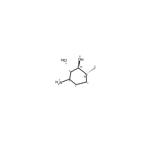 C[C@@H]1CCC(N)C[C@H]1O.Cl